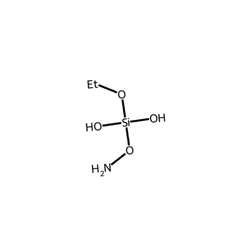 CCO[Si](O)(O)ON